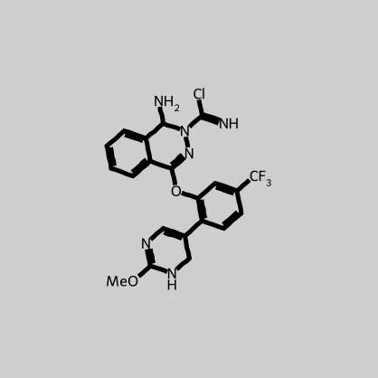 COC1=NC=C(c2ccc(C(F)(F)F)cc2OC2=NN(C(=N)Cl)C(N)c3ccccc32)CN1